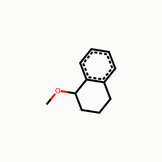 COC1[CH]CCc2ccccc21